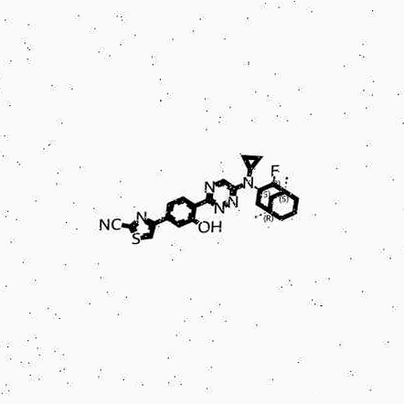 C[C@@]12CCC[C@@](C)(C1)[C@@H](F)[C@@H](N(c1cnc(-c3ccc(-c4csc(C#N)n4)cc3O)nn1)C1CC1)C2